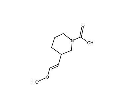 COC=CC1CCCN(C(=O)O)C1